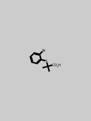 CC(C)(Sc1ccccc1Br)C(=O)O